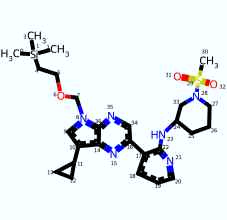 C[Si](C)(C)CCOCn1cc(C2CC2)c2nc(-c3cccnc3NC3CCCN(S(C)(=O)=O)C3)cnc21